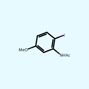 COc1ccc(I)c(NC(C)=O)c1